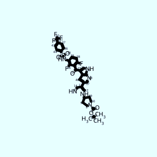 CC(C)(C)OC(=O)N1CCC(N/C=C(\C=N)c2cnc3[nH]cc(C(=O)c4c(F)ccc(NS(=O)(=O)c5ccc(C(F)(F)F)cc5)c4F)c3c2)CC1